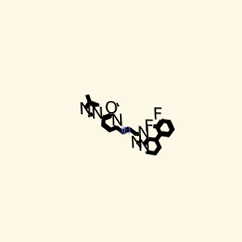 COc1nc(/C=C/c2nc3n(n2)CCCC3c2cccc(F)c2F)ccc1-n1cnc(C)c1